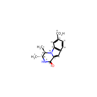 C[C@@H]1[C@@H](C)NC(=O)c2cc3ccc(C(=O)O)cc3n21